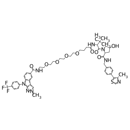 Cc1ncsc1-c1ccc(CNC(=O)C2CC(O)CN2C(=O)C(NC(=O)CCCOCCOCCOCCOCCNC(=O)c2ccc3c(c2)c2cn(C)nc2n3-c2ccc(C(F)(F)F)cc2)C(C)(C)C)cc1